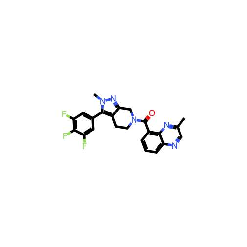 Cc1cnc2cccc(C(=O)N3CCc4c(nn(C)c4-c4cc(F)c(F)c(F)c4)C3)c2n1